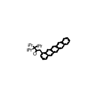 CC(C)C(C(=O)Cc1cccc2cc3cc4cc5ccccc5cc4cc3cc12)(C(C)C)C(C)C